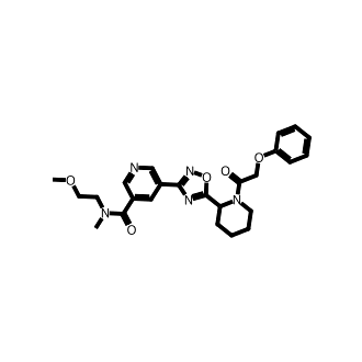 COCCN(C)C(=O)c1cncc(-c2noc(C3CCCCN3C(=O)COc3ccccc3)n2)c1